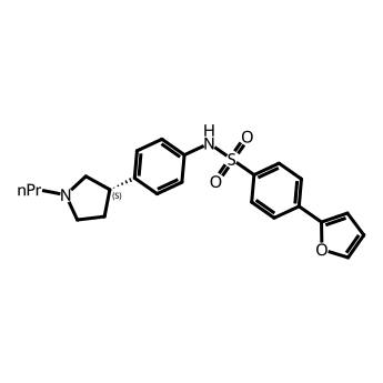 CCCN1CC[C@@H](c2ccc(NS(=O)(=O)c3ccc(-c4ccco4)cc3)cc2)C1